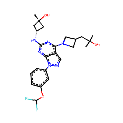 CC(C)(O)CC1CN(c2nc(N[C@H]3C[C@@](C)(O)C3)nc3c2cnn3-c2cccc(OC(F)F)c2)C1